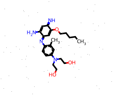 CCCCCOC1=CC(=Nc2ccc(N(CCO)CCO)cc2C)C(N)=CC1=N